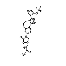 CC(=O)NC[C@H]1CN(c2ccc3c(c2)CCCc2c(-c4cocc4OC(F)(F)F)n[nH]c2-3)C(=O)O1